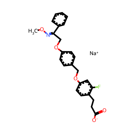 CON=C(COc1ccc(COc2ccc(CCC(=O)[O-])c(F)c2)cc1)c1ccccc1.[Na+]